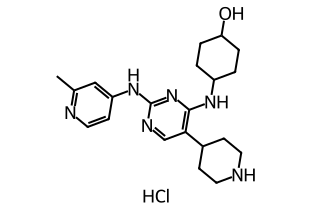 Cc1cc(Nc2ncc(C3CCNCC3)c(NC3CCC(O)CC3)n2)ccn1.Cl